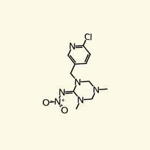 CN1CN(C)/C(=N\[N+](=O)[O-])N(Cc2ccc(Cl)nc2)C1